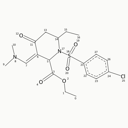 CCOC(=O)C1C(=CN(C)C)C(=O)CC(CC)N1S(=O)(=O)c1ccc(Cl)cc1